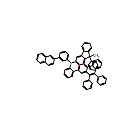 CC1(c2ccccc2)c2ccccc2-c2cc(N(c3cccc(-c4ccc5ccccc5c4)c3)c3ccccc3-c3ccc4c(c3)c(-c3ccccc3)c(-c3ccccc3)c3ccccc34)ccc21